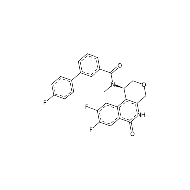 CN(C(=O)c1cccc(-c2ccc(F)cc2)c1)[C@H]1COCc2[nH]c(=O)c3cc(F)c(F)cc3c21